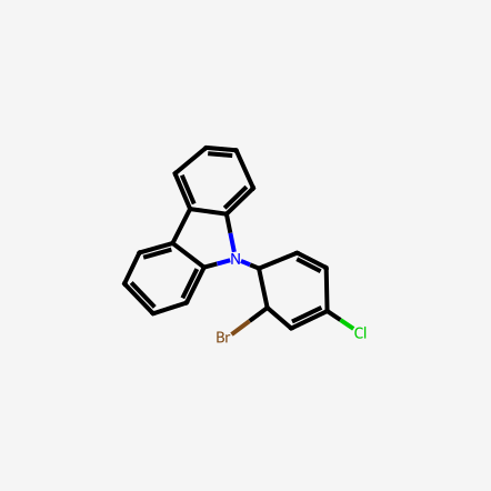 ClC1=CC(Br)C(n2c3ccccc3c3ccccc32)C=C1